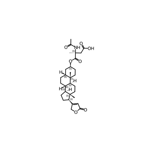 CC(=O)N[C@@](C)(CC(=O)O)C(=O)O[C@H]1CC[C@@]2(C)[C@H](CC[C@@H]3[C@@H]2CC[C@]2(C)[C@@H](C4=CC(=O)OC4)CC[C@@H]32)C1